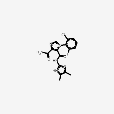 Cc1nc(NC(=O)c2c(C(N)=O)ncn2-c2c(F)cccc2Cl)[nH]c1C